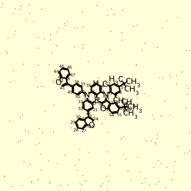 Cc1cc(C(C)(C)C)cc(C)c1N1c2cccc3c2B(c2cc(-c4coc5ccccc45)ccc2N3c2ccc(-c3coc4ccccc34)cc2)c2oc3ccc(C(C)(C)C)cc3c21